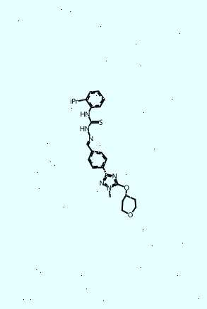 CC(C)c1ccccc1NC(=S)NN=Cc1ccc(-c2nc(OC3CCOCC3)n(C)n2)cc1